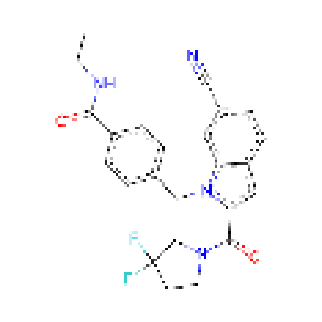 CCNC(=O)c1ccc(Cn2c(C(=O)N3CCC(F)(F)C3)cc3ccc(C#N)cc32)cc1